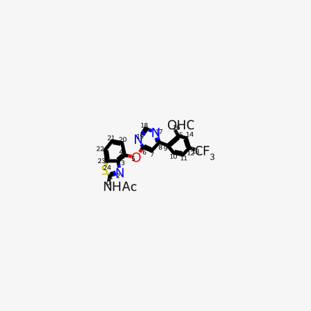 CC(=O)Nc1nc2c(Oc3cc(-c4ccc(C(F)(F)F)cc4C=O)ncn3)cccc2s1